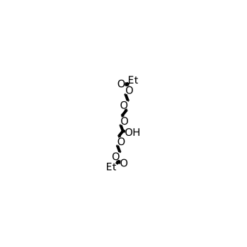 CCC(=O)OCCOCCOCC(O)COCCOC(=O)CC